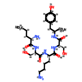 NCCCC[C@H](NC(=O)[C@H](CO)NC(=O)[C@@H](N)CCC(=O)O)C(=O)N[C@@H](CO)C(=O)N[C@@H](Cc1ccc(O)cc1)C(=O)O